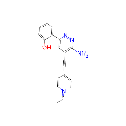 C\C=N/C=C\C(C#Cc1cc(-c2ccccc2O)nnc1N)=C/C